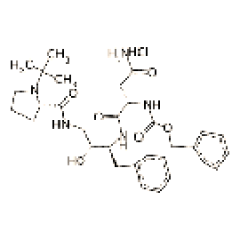 CC(C)(C)N1CCC[C@H]1C(=O)NC[C@@H](O)[C@H](Cc1ccccc1)NC(=O)[C@H](CC(N)=O)NC(=O)OCc1ccccc1.Cl